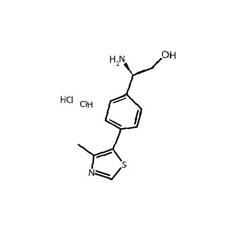 Cc1ncsc1-c1ccc([C@@H](N)CO)cc1.Cl.Cl